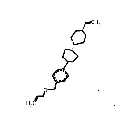 C=CCOCc1ccc(C2CCC([C@H]3CC[C@H](C=C)CC3)CC2)cc1